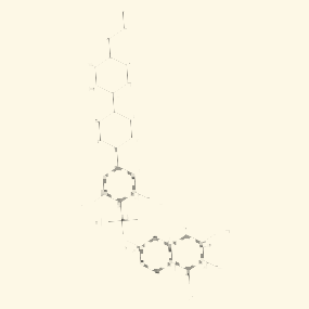 CCCC1CCC(C2CCC(c3cc(F)c(C(F)(F)Oc4ccc5c(F)c(F)c(F)cc5c4)c(F)c3)CC2)CC1